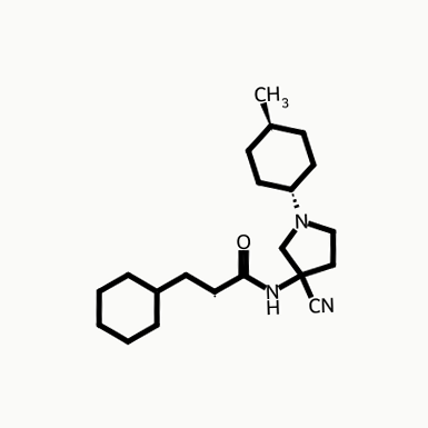 C[C@H]1CC[C@H](N2CCC(C#N)(NC(=O)[CH]CC3CCCCC3)C2)CC1